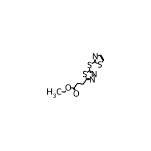 CCOC(=O)CCc1nnc(Sc2nccs2)s1